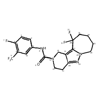 O=C(Nc1ccc(F)c(C(F)(F)F)c1)N1CCc2nn3c(c2C1)C(F)(F)CCCC3